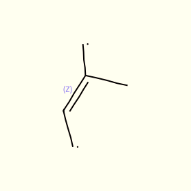 [CH2]/C=C(/[CH2])C